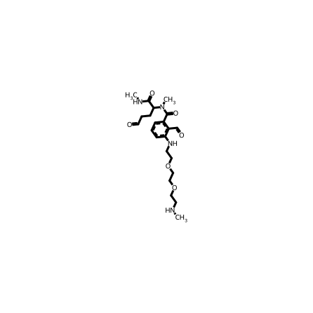 CNCCOCCOCCNc1cccc(C(=O)N(C)C(CCC=O)C(=O)NC)c1C=O